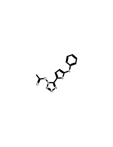 CC(=O)On1nnnc1-c1ccc(Sc2ccccc2)s1